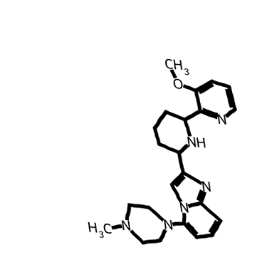 COc1cccnc1C1CCCC(c2cn3c(N4CCN(C)CC4)cccc3n2)N1